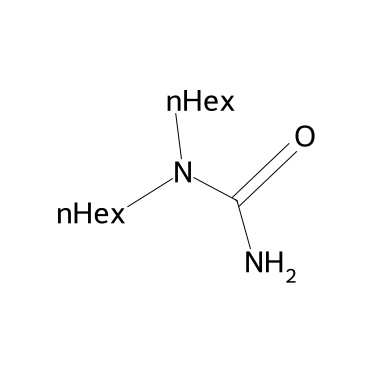 CCCCCCN(CCCCCC)C(N)=O